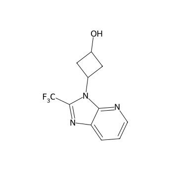 OC1CC(n2c(C(F)(F)F)nc3cccnc32)C1